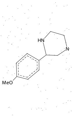 COc1ccc(C2C[N]CCN2)cc1